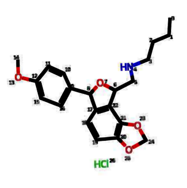 CCCCNCC1OC(c2ccc(OC)cc2)c2ccc3c(c21)OCO3.Cl